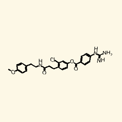 COc1ccc(CCNC(=O)CCc2ccc(OC(=O)c3ccc(NC(=N)N)cc3)cc2Cl)cc1